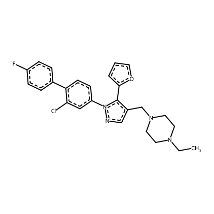 CCN1CCN(Cc2cnn(-c3ccc(-c4ccc(F)cc4)c(Cl)c3)c2-c2ccco2)CC1